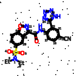 CCN(CC)S(=O)(=O)c1ccc2onc(C(=O)Nc3ccc(C#N)cc3-c3nnn[nH]3)c2c1